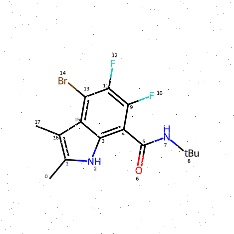 Cc1[nH]c2c(C(=O)NC(C)(C)C)c(F)c(F)c(Br)c2c1C